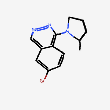 CC1CCCN1c1nncc2cc(Br)ccc12